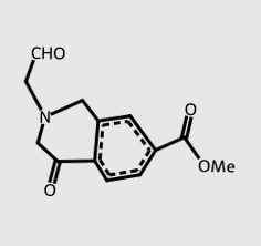 COC(=O)c1ccc2c(c1)CN(CC=O)CC2=O